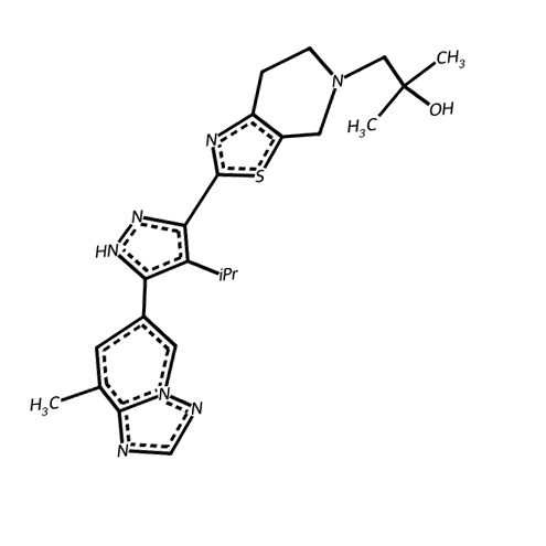 Cc1cc(-c2[nH]nc(-c3nc4c(s3)CN(CC(C)(C)O)CC4)c2C(C)C)cn2ncnc12